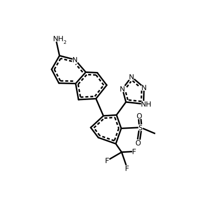 CS(=O)(=O)c1c(C(F)(F)F)ccc(-c2ccc3nc(N)ccc3c2)c1-c1nnn[nH]1